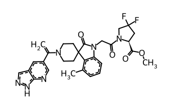 C=C(c1cnc2[nH]ncc2c1)N1CCC2(CC1)C(=O)N(CC(=O)N1CC(F)(F)C[C@H]1C(=O)OC)c1cccc(C)c12